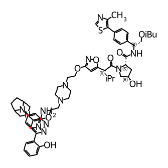 Cc1ncsc1-c1ccc([C@H](COCC(C)C)NC(=O)[C@@H]2C[C@@H](O)CN2C(=O)[C@@H](c2cc(OCCN3CCN(CCOc4cc(N5C6CCC5CN(c5cc(-c7ccccc7O)nnc5N)C6)ccn4)CC3)no2)C(C)C)cc1